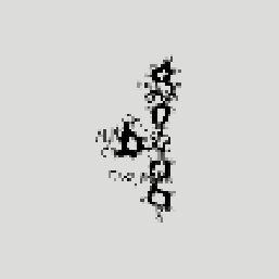 CCOC(=O)[C@@H]1CN(C(=O)[C@@H](Cc2cc(Cl)c(N)c(C(F)(F)F)c2)OC(=O)N2CCC(N3CCc4ccccc4NC3=O)CC2)CCN1C1CCN(C)CC1